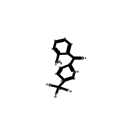 Nc1ccccc1C(=O)c1ccc(C(F)(F)F)cn1